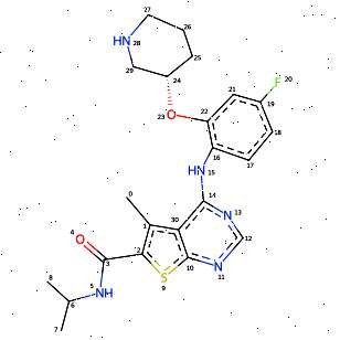 Cc1c(C(=O)NC(C)C)sc2ncnc(Nc3ccc(F)cc3O[C@H]3CCCNC3)c12